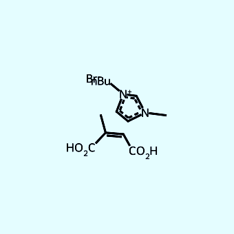 C/C(=C/C(=O)O)C(=O)O.CCCC[n+]1ccn(C)c1.[Br-]